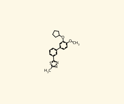 COc1ccc(-c2cccc(-c3nnc(C)s3)c2)cc1OC1CCCC1